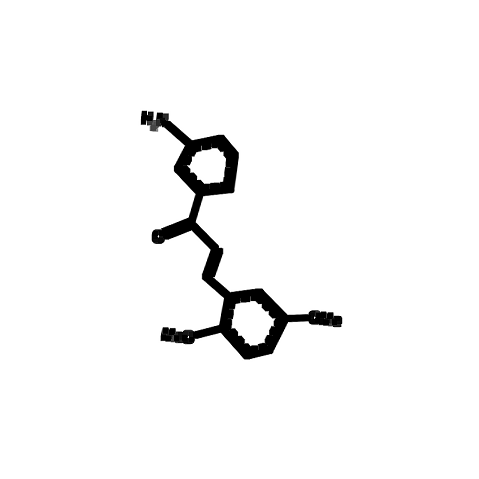 COc1ccc(OC)c(C=CC(=O)c2cccc(N)c2)c1